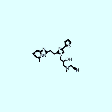 Cc1cccc2nc(CCc3nc(-c4cccs4)cn3CC(O)CN(C)CC#N)nn12